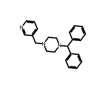 c1ccc(C(c2ccccc2)N2CCN(Cc3cccnc3)CC2)cc1